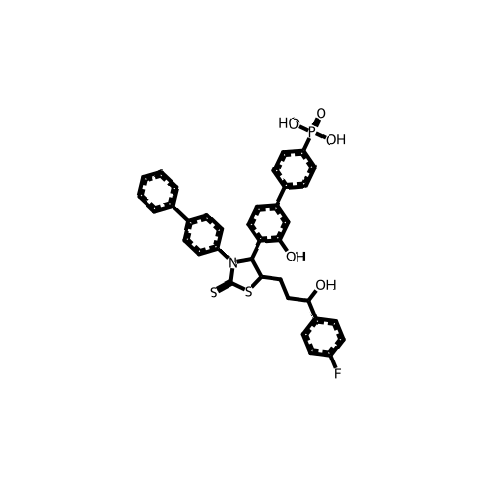 O=P(O)(O)c1ccc(-c2ccc(C3C(CCC(O)c4ccc(F)cc4)SC(=S)N3c3ccc(-c4ccccc4)cc3)c(O)c2)cc1